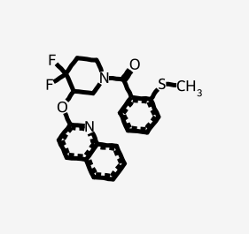 CSc1ccccc1C(=O)N1CCC(F)(F)C(Oc2ccc3ccccc3n2)C1